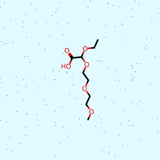 CCOC(OCCOCCOC)C(=O)O